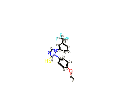 CCOc1ccc(N2C(S)N=CN2c2cccc(C(F)(F)F)c2)cc1